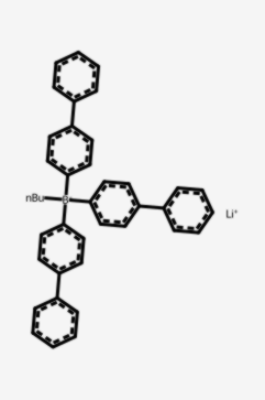 CCCC[B-](c1ccc(-c2ccccc2)cc1)(c1ccc(-c2ccccc2)cc1)c1ccc(-c2ccccc2)cc1.[Li+]